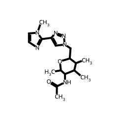 CC(=O)NC1C(C)OC(Cn2cc(-c3nccn3C)nn2)C(C)C1C